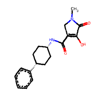 CN1CC(C(=O)N[C@H]2CC[C@@H](c3ccccc3)CC2)=C(O)C1=O